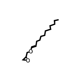 CCCCCCCCCCC=COCC1CO1